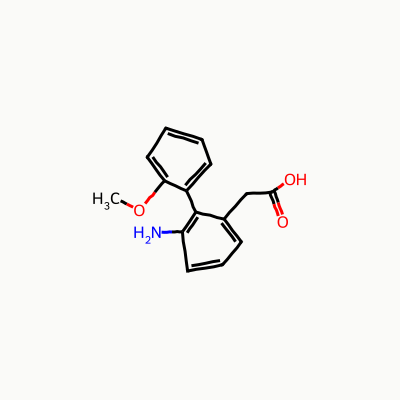 COc1ccccc1-c1c(N)cccc1CC(=O)O